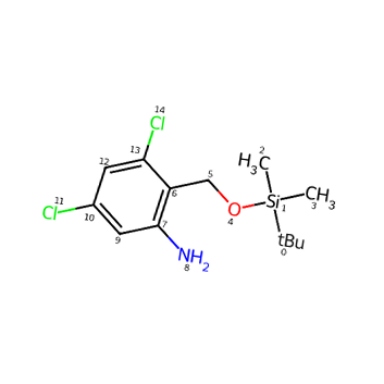 CC(C)(C)[Si](C)(C)OCc1c(N)cc(Cl)cc1Cl